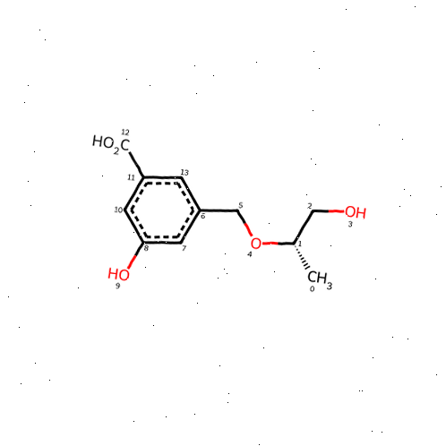 C[C@@H](CO)OCc1cc(O)cc(C(=O)O)c1